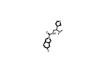 CN(C)C(CNC(=O)n1cc2ccc(F)cc2c1)c1ccsc1